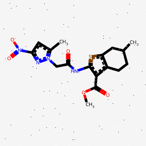 COC(=O)c1c(NC(=O)Cn2nc([N+](=O)[O-])cc2C)sc2c1CCC(C)C2